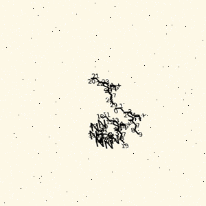 CCC[CH2][Sn+]([CH3])[CH2]CCC.CCC[CH2][Sn+]([CH3])[CH2]CCC.CCC[CH2][Sn+]([CH3])[CH2]CCC.N#[C][Fe-3]([C]#N)([C]#N)([C]#N)([C]#N)[C]#N